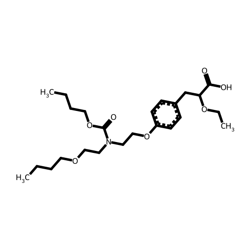 CCCCOCCN(CCOc1ccc(CC(OCC)C(=O)O)cc1)C(=O)OCCCC